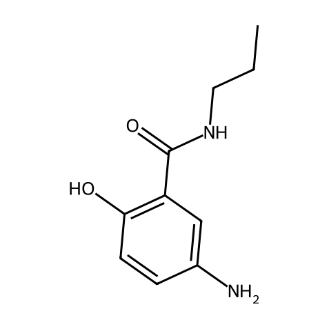 CCCNC(=O)c1cc(N)ccc1O